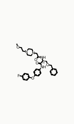 COCCN1CCN(CC(=O)N[C@@H](COCc2ccccc2)C(=O)Nc2ccc(Oc3ccc(F)cc3)cc2)CC1